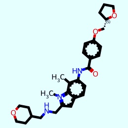 Cc1c(NC(=O)c2ccc(OC[C@@H]3CCCO3)cc2)ccc2cc(CNCC3CCOCC3)n(C)c12